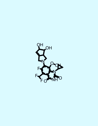 COc1c(N2CC3=CC(O)C(O)C3C2)c(F)c(C(F)F)c2c(=O)[nH]c(=O)n(C3CC3)c12